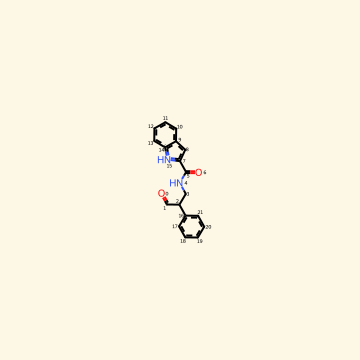 O=CC(CNC(=O)c1cc2ccccc2[nH]1)c1ccccc1